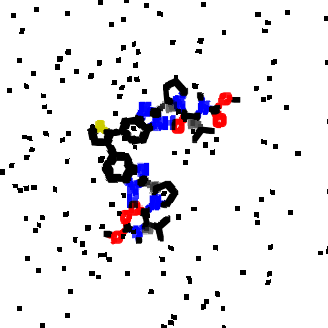 COC(=O)N(C)[C@@H](C(=O)N1CCC[C@H]1c1nc2cc(-c3ccsc3-c3ccc4[nH]c([C@@H]5CCCN5C(=O)[C@@H](C(C)C)N(C)C(=O)OC)nc4c3)ccc2[nH]1)C(C)C